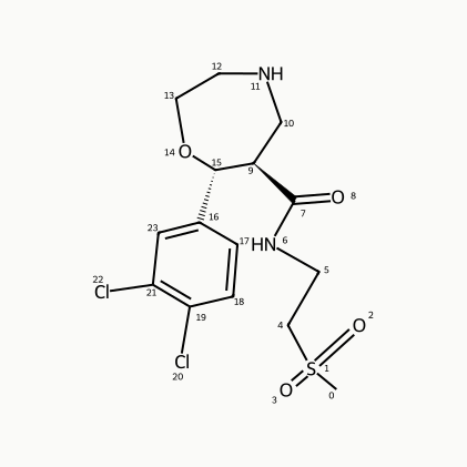 CS(=O)(=O)CCNC(=O)[C@@H]1CNCCO[C@H]1c1ccc(Cl)c(Cl)c1